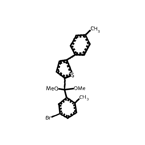 COC(OC)(c1ccc(-c2ccc(C)cc2)s1)c1cc(Br)ccc1C